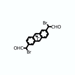 O=CC(Br)c1ccc2c(c1)C1CCC2c2cc(C(Br)C=O)ccc21